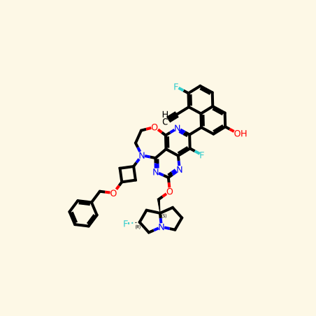 C#Cc1c(F)ccc2cc(O)cc(-c3nc4c5c(nc(OC[C@@]67CCCN6C[C@H](F)C7)nc5c3F)N(C3CC(OCc5ccccc5)C3)CCO4)c12